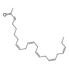 CC/C=C\C/C=C\C/C=C\C/C=C\C/C=C\CCCCSC(C)=O